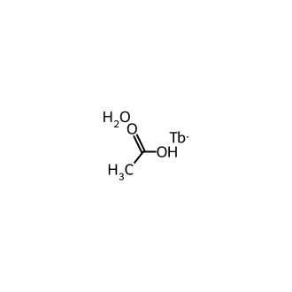 CC(=O)O.O.[Tb]